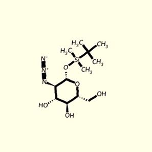 CC(C)(C)[Si](C)(C)O[C@@H]1O[C@H](CO)[C@@H](O)[C@H](O)[C@H]1N=[N+]=[N-]